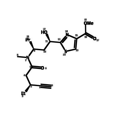 C#C[C@@H](CC)CC(=O)N(C)[C@H](C[C@@H](O)c1nc(C(=O)OC)cs1)C(C)C